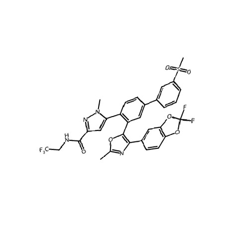 Cc1nc(-c2ccc3c(c2)OC(F)(F)O3)c(-c2cc(-c3cccc(S(C)(=O)=O)c3)ccc2-c2cc(C(=O)NCC(F)(F)F)nn2C)o1